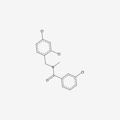 CN(Cc1ccc(Cl)cc1Cl)C(=O)c1cccc(Cl)c1